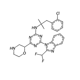 CC(C)(Cc1ccccc1Cl)Nc1nc(C2CNCCO2)nc(-n2c(C(F)F)nc3ccccc32)n1